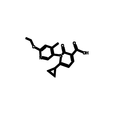 CCOc1cc(C)c(-n2c(C3CC3)ccc(C(=O)O)c2=O)cn1